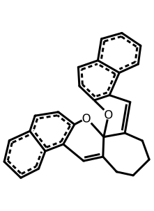 C1=C2CCCCC3=Cc4c(ccc5ccccc45)OC23Oc2ccc3ccccc3c21